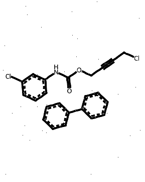 O=C(Nc1cccc(Cl)c1)OCC#CCCl.c1ccc(-c2ccccc2)cc1